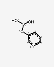 OB(O)Oc1cccnc1